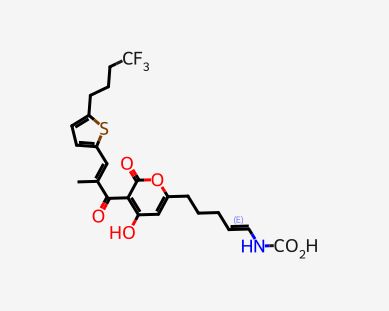 CC(=Cc1ccc(CCCC(F)(F)F)s1)C(=O)c1c(O)cc(CCC/C=C/NC(=O)O)oc1=O